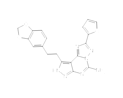 Nc1nc2n[nH]c(CCc3ccc4c(c3)OCO4)c2c2nc(-c3ccco3)nn12